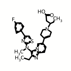 CCc1nc2ccc(C3=CCN(C(CC)CC(=O)O)CC3)cn2c1N(C)c1nc(-c2ccc(F)cc2)cs1